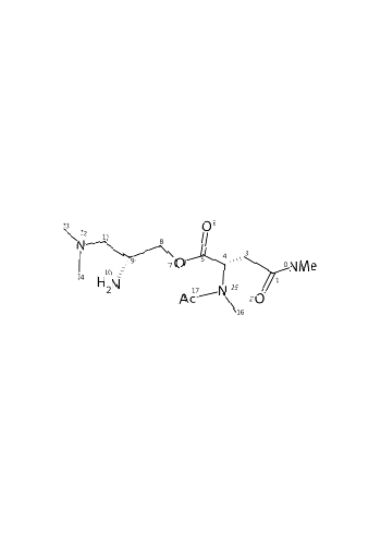 CNC(=O)C[C@@H](C(=O)OC[C@H](N)CN(C)C)N(C)C(C)=O